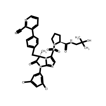 CC(C)(O)CNC(=O)[C@@H]1CCCN1S(=O)(=O)c1cnc2n1[C@](C)(Cc1ccc(-c3cccnc3C#N)cc1)C(=O)N2c1cc(Cl)cc(Cl)c1